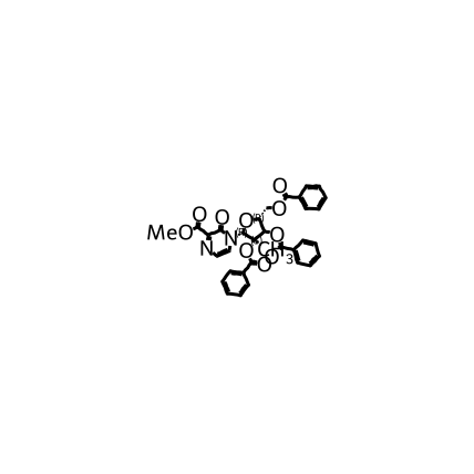 COC(=O)c1nccn([C@@H]2O[C@H](COC(=O)c3ccccc3)C(OC(=O)c3ccccc3)[C@]2(C)OC(=O)c2ccccc2)c1=O